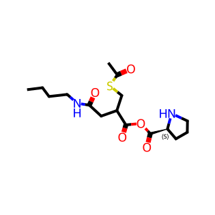 CCCCNC(=O)CC(CSC(C)=O)C(=O)OC(=O)[C@@H]1CCCN1